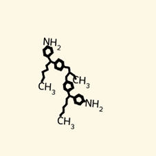 CCCCCCC(c1ccc(N)cc1)c1ccc(CC(CC)Cc2ccc(C(CCCCCC)c3ccc(N)cc3)cc2)cc1